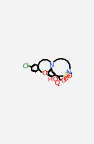 COC(=O)[C@@]1(O)CS(=O)(=O)N(C)CCCCCCCN2CCCCc3cc(Cl)ccc3COc3ccc1cc32